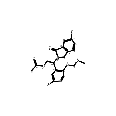 COCOc1ccc(F)cc1C(COC(C)=O)N1Cc2ccc(Br)cc2C1=O